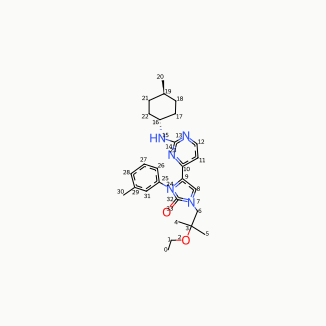 CCOC(C)(C)Cn1cc(-c2ccnc(N[C@H]3CC[C@H](C)CC3)n2)n(-c2cccc(C)c2)c1=O